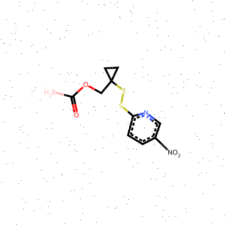 BC(=O)OCC1(SSc2ccc([N+](=O)[O-])cn2)CC1